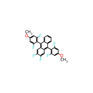 COc1cc(F)c(-c2c3ccccc3c(-c3c(F)cc(OC)cc3F)c3cc(F)c(F)cc23)c(F)c1